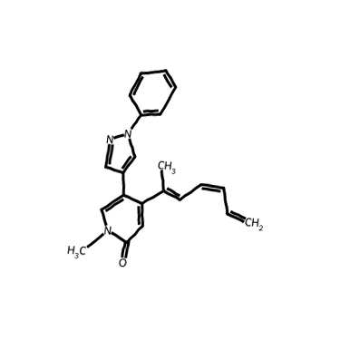 C=C/C=C\C=C(/C)c1cc(=O)n(C)cc1-c1cnn(-c2ccccc2)c1